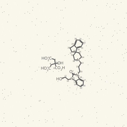 O=C(O)CC(O)(CC(=O)O)C(=O)O.O=c1n(CCO)c2ccccc2n1CCCN1CCC2(CCc3ccccc32)CC1